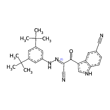 CC(C)(C)c1cc(N/N=C(\C#N)C(=O)c2c[nH]c3ccc(C#N)cc23)cc(C(C)(C)C)c1